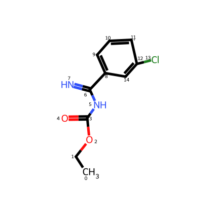 CCOC(=O)NC(=N)c1cc[c]c(Cl)c1